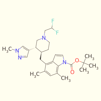 Cc1cc(C)c2c(ccn2C(=O)OC(C)(C)C)c1C[C@@H]1CCN(CC(F)F)C[C@H]1c1cnn(C)c1